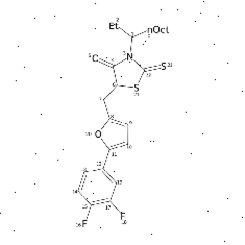 CCCCCCCCC(CC)N1C(=O)C(Cc2ccc(-c3ccc(F)c(F)c3)o2)SC1=S